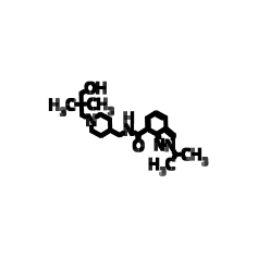 CC(C)n1cc2cccc(C(=O)NCC3CCN(CC(C)(C)CO)CC3)c2n1